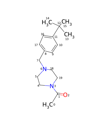 CC(=O)N1CCN(Cc2ccc(C(C)(C)C)cc2)CC1